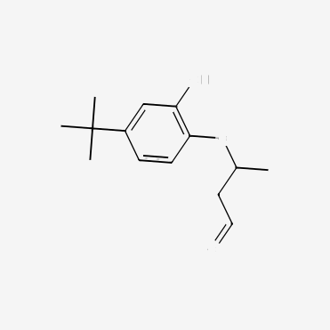 CC(CC=O)Oc1ccc(C(C)(C)C)cc1O